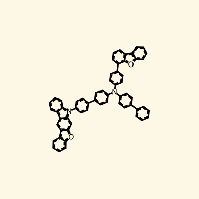 c1ccc(-c2ccc(N(c3ccc(-c4ccc(-n5c6ccccc6c6cc7c(cc65)oc5ccccc57)cc4)cc3)c3ccc(-c4cccc5c4oc4ccccc45)cc3)cc2)cc1